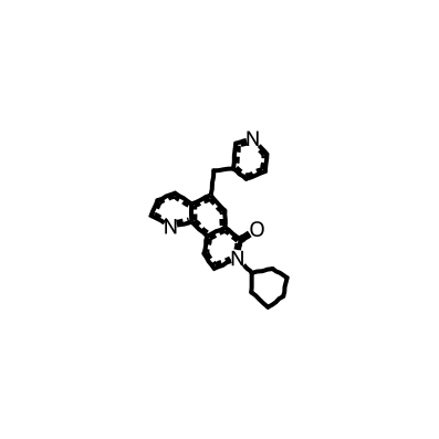 O=c1c2cc(Cc3cccnc3)c3cccnc3c2ccn1C1CCCCC1